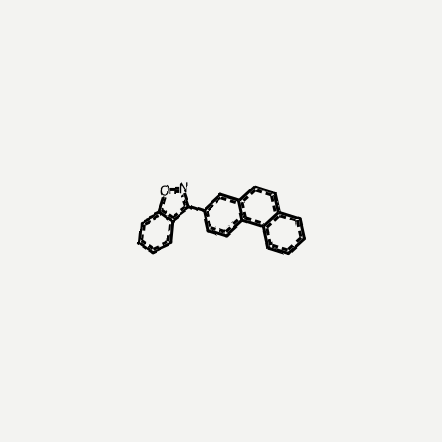 c1ccc2c(c1)ccc1cc(-c3noc4ccccc34)ccc12